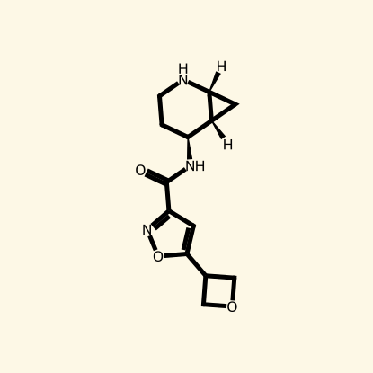 O=C(N[C@H]1CCN[C@@H]2C[C@H]12)c1cc(C2COC2)on1